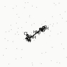 Cc1sc2c(c1C)C(c1ccc(Cl)cc1)=N[C@@H](CC(=O)NCCCCCCCCNC(=O)CCc1cccc3c1n(C)c(=O)n3C1CCCC(=O)NC1=O)c1nnc(C)n1-2